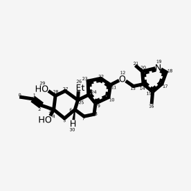 CC#CC1(O)C[C@H]2CCc3cc(OCc4c(C)ccnc4C)ccc3C2(CC)CC1O